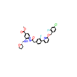 COC(=O)c1ccc(NC(=O)Cc2ccc(-c3cccc(OCc4ccc(Cl)cc4F)n3)c(F)c2)c(NC[C@@H]2CCCO2)c1